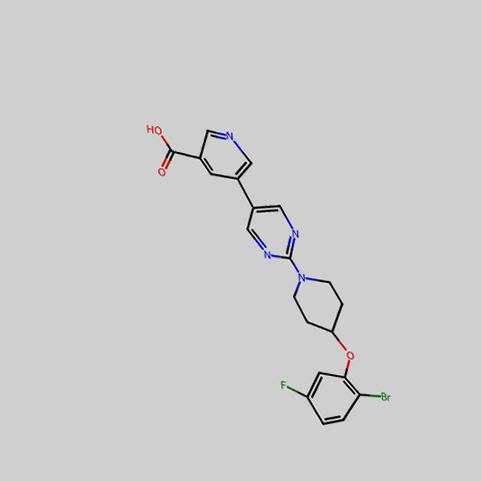 O=C(O)c1cncc(-c2cnc(N3CCC(Oc4cc(F)ccc4Br)CC3)nc2)c1